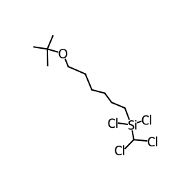 CC(C)(C)OCCCCCC[Si](Cl)(Cl)C(Cl)Cl